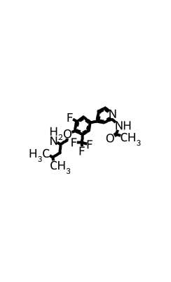 CC(=O)Nc1cc(-c2cc(F)c(OCC(N)CC(C)C)c(C(F)(F)F)c2)ccn1